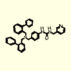 O=C(NCc1cccnc1)Nc1ccc(CN(Cc2ccccc2-c2ccccc2)Cc2ccccc2-c2ccccc2)cc1